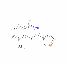 Cc1cccc2c(=O)[nH]c(-c3ccsc3)cc12